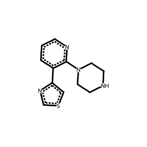 c1cnc(N2CCNCC2)c(-c2cscn2)c1